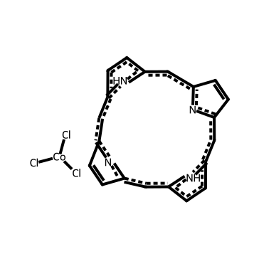 C1=Cc2cc3ccc(cc4nc(cc5ccc(cc1n2)[nH]5)C=C4)[nH]3.[Cl][Co]([Cl])[Cl]